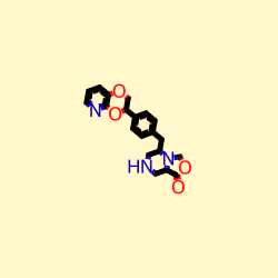 O=C1OCN2C(Cc3ccc(C4COc5cccnc5O4)cc3)CNCC12